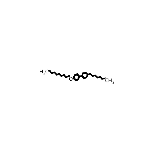 CCCCCCCCCCOc1ccc(C2=CCC(CCCCCCCC)C=C2)cc1